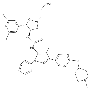 COCCN1C[C@@H](NC(=O)Nc2c(C)c(-c3cnc(OC4CCN(C)CC4)nc3)nn2-c2ccccc2)[C@H](c2cc(F)nc(F)c2)O1